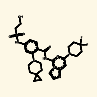 O=C(Nc1nc(N2CCC(F)(F)CC2)cc2nccn12)c1ccc(NS(=O)(=O)CCO)cc1N1CCC2(CC1)CC2